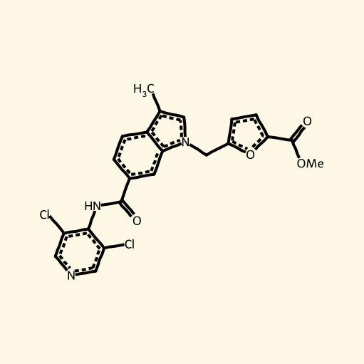 COC(=O)c1ccc(Cn2cc(C)c3ccc(C(=O)Nc4c(Cl)cncc4Cl)cc32)o1